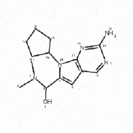 CN(C)C(O)c1cc2cnc(N)nc2n1C1CCCC1